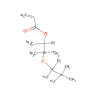 C=CC(=O)OC(C)(CC)[Si](C)(C)OC(C)(CC)[Si](C)(C)C